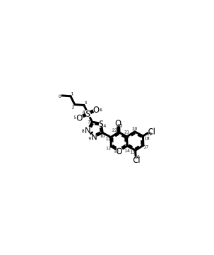 CCCCS(=O)(=O)c1nnc(-c2coc3c(Cl)cc(Cl)cc3c2=O)s1